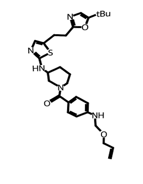 C=CCOCNc1ccc(C(=O)N2CCCC(Nc3ncc(CCc4ncc(C(C)(C)C)o4)s3)C2)cc1